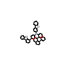 c1ccc(-c2cccc3cccc(-c4ccccc4N(c4ccc(-c5cccc6c5oc5ccccc56)cc4)c4ccc5c(c4)oc4ccccc45)c23)cc1